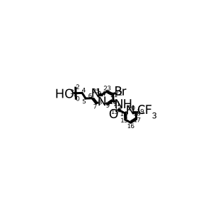 CC(C)(O)CCc1cn2cc(NC(=O)c3cccc(C(F)(F)F)n3)c(Br)cc2n1